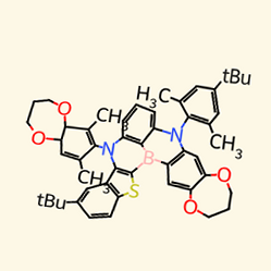 CC1=CC2OCCCOC2C(C)=C1N1c2cccc3c2B(c2cc4c(cc2N3c2c(C)cc(C(C)(C)C)cc2C)OCCCO4)c2sc3ccc(C(C)(C)C)cc3c21